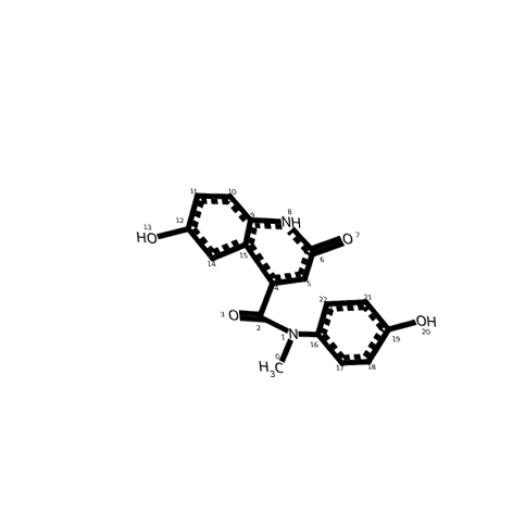 CN(C(=O)c1cc(=O)[nH]c2ccc(O)cc12)c1ccc(O)cc1